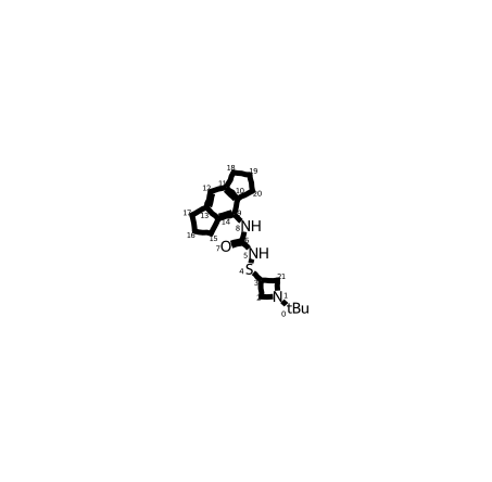 CC(C)(C)N1CC(SNC(=O)Nc2c3c(cc4c2CCC4)CCC3)C1